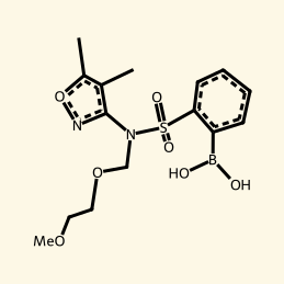 COCCOCN(c1noc(C)c1C)S(=O)(=O)c1ccccc1B(O)O